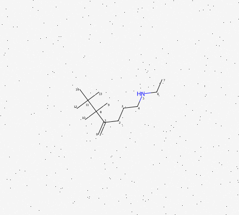 C=C(CCCNCC)C(C)(C)C(C)(C)C